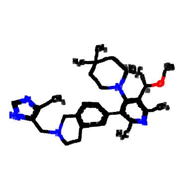 Cc1nc[nH]c1CN1CCc2cc(-c3c(C)nc(C)c([C@H](OC(C)(C)C)C(=O)O)c3N3CCC(C)(C)CC3)ccc2C1